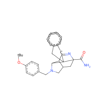 CC(C)(C)Oc1ccc(CN2CC3CC4(C(N)=O)N=CC3C2C4(Cc2ccccc2)Cc2ccccc2)cc1